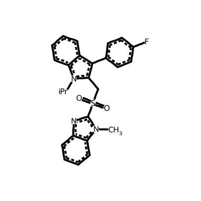 CC(C)n1c(CS(=O)(=O)c2nc3ccccc3n2C)c(-c2ccc(F)cc2)c2ccccc21